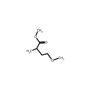 COCCC(C)C(=O)OC